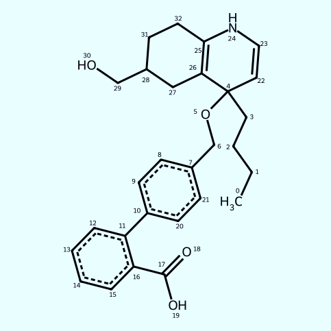 CCCCC1(OCc2ccc(-c3ccccc3C(=O)O)cc2)C=CNC2=C1CC(CO)CC2